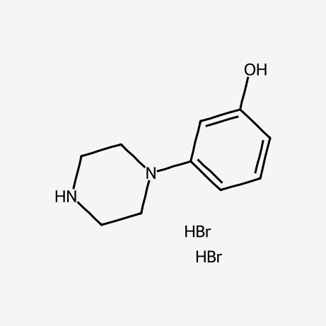 Br.Br.Oc1cccc(N2CCNCC2)c1